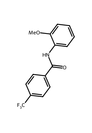 COc1ccccc1NC(=O)c1ccc(C(F)(F)F)cc1